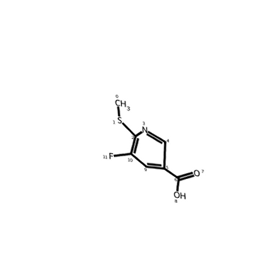 CSc1ncc(C(=O)O)cc1F